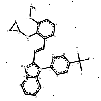 COc1cccc(C=Cc2nc3ccccc3n2-c2ccc(C(F)(F)F)cn2)c1OC1CC1